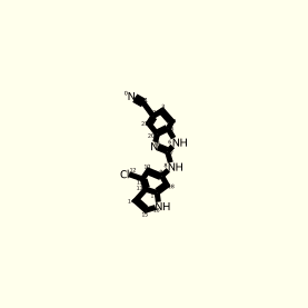 N#Cc1ccc2[nH]c(Nc3cc(Cl)c4cc[nH]c4c3)nc2c1